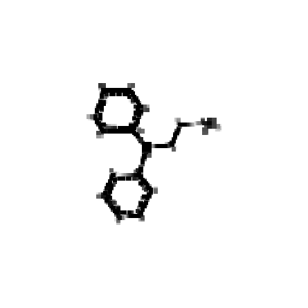 NCCN(c1ccccc1)c1ccccc1